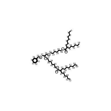 CCCCCCCCC(CCCCCC)C(=O)OCCCCCCOCC(COCc1ccccc1)OCCCCCCOC(=O)C(CCCCCC)CCCCCCCC